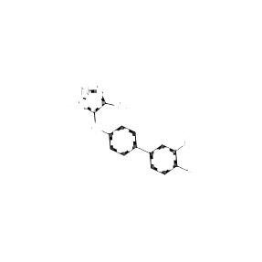 CC(=O)c1nn[nH]c1Oc1ccc(-c2ccc(F)c(Cl)c2)cc1